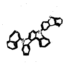 c1ccc2c(-n3c4ccccc4c4c5c6ccccc6n(-c6ccc7sc8ccccc8c7c6)c5ccc43)cccc2c1